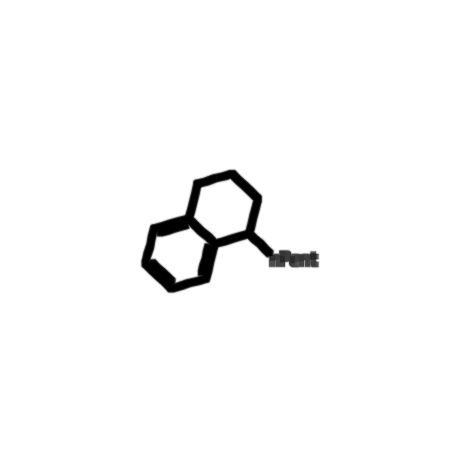 CCCCCC1CCCc2ccccc21